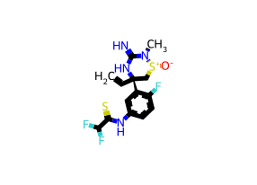 C=C[C@@]1(c2cc(NC(=S)C(F)F)ccc2F)C[S+]([O-])N(C)C(=N)N1